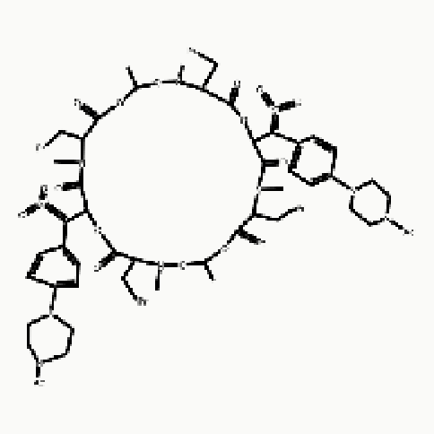 CC(=O)N1CCN(c2ccc(C(C3OC(=O)C(CC(C)C)N(C)CC(C)OC(=O)C(CC(C)C)N(C)C(=O)C(C(c4ccc(N5CCN(C(C)=O)CC5)cc4)=S(=O)=O)OC(=O)C(CC(C)C)N(C)CC(C)OC(=O)C(CC(C)C)N(C)C3=O)=S(=O)=O)cc2)CC1